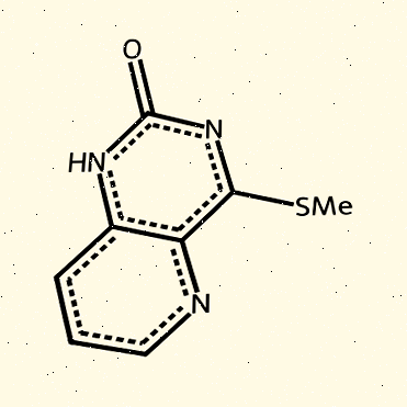 CSc1nc(=O)[nH]c2cccnc12